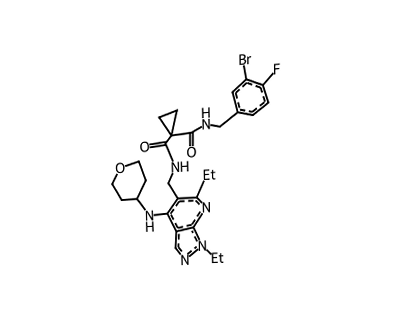 CCc1nc2c(cnn2CC)c(NC2CCOCC2)c1CNC(=O)C1(C(=O)NCc2ccc(F)c(Br)c2)CC1